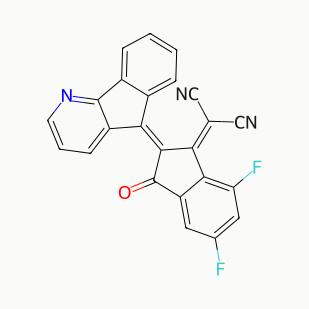 N#CC(C#N)=C1/C(=C2\c3ccccc3-c3ncccc32)C(=O)c2cc(F)cc(F)c21